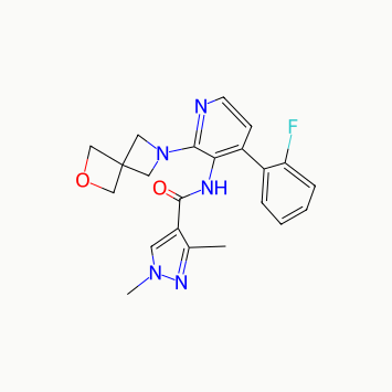 Cc1nn(C)cc1C(=O)Nc1c(-c2ccccc2F)ccnc1N1CC2(COC2)C1